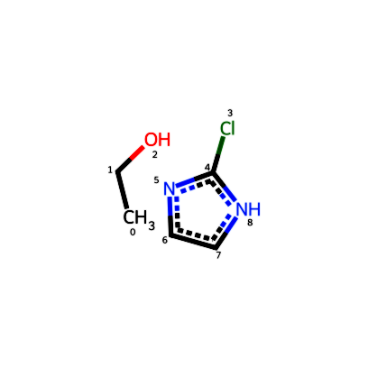 CCO.Clc1ncc[nH]1